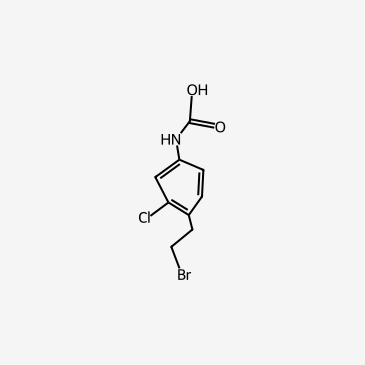 O=C(O)Nc1ccc(CCBr)c(Cl)c1